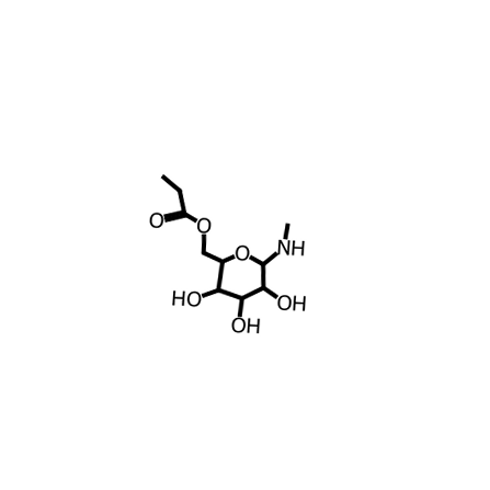 CCC(=O)OCC1OC(NC)C(O)C(O)C1O